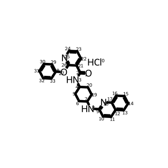 Cl.O=C(NC1CCC(Nc2ccc3ccccc3n2)CC1)c1cccnc1Oc1ccccc1